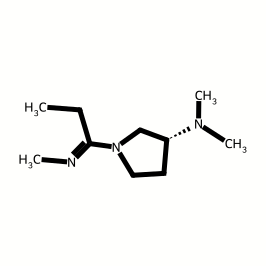 CC/C(=N\C)N1CC[C@@H](N(C)C)C1